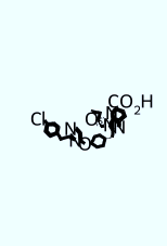 O=C(O)c1ccc2nc(C[C@H]3CC[C@H](Oc4ccnc(Cc5ccc(Cl)cc5)n4)CC3)n(C[C@@H]3CCO3)c2n1